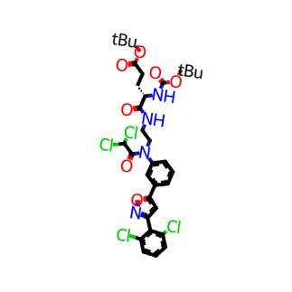 CC(C)(C)OC(=O)CC[C@H](NC(=O)OC(C)(C)C)C(=O)NCCN(C(=O)C(Cl)Cl)c1cccc(-c2cc(-c3c(Cl)cccc3Cl)no2)c1